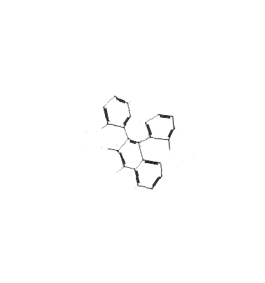 CCOC(=O)c1ccccc1-c1c(C(=O)O)c(C(=O)O)c2ccccc2c1-c1ccccc1C(=O)OCC